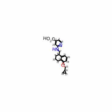 O=C(O)c1ccnc(NCC2CCCc3c(OCC4CC4)cccc32)c1